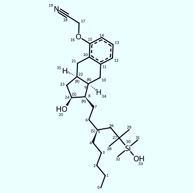 CCCCC[C@@H](CC[C@@H]1[C@@H]2Cc3cccc(OCC#N)c3C[C@@H]2C[C@@H]1O)CC(C)(C)[Si](C)(C)O